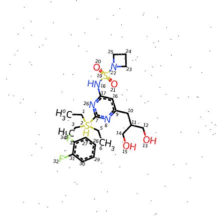 CC[SH](CC)(CC)(c1nc(CC(CO)CO)cc(NS(=O)(=O)N2CCC2)n1)c1cccc(F)c1F